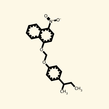 CCC(C)c1ccc(OCOc2ccc([N+](=O)[O-])c3ccccc23)cc1